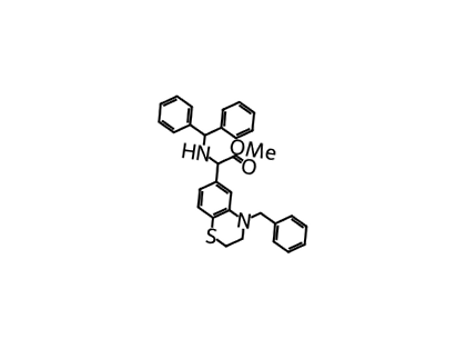 COC(=O)C(NC(c1ccccc1)c1ccccc1)c1ccc2c(c1)N(Cc1ccccc1)CCS2